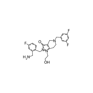 NCc1cc(F)ccc1Cn1c(=O)c2c(n1CCO)CCN(Cc1cc(F)cc(F)c1)C2